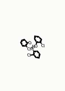 Clc1ccccc1[O][Al]([O]c1ccccc1Cl)[O]c1ccccc1Cl